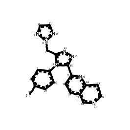 Clc1ccc(-n2c(Cn3nccn3)nnc2-c2ccc3cnccc3n2)cc1